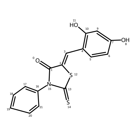 O=C1/C(=C/c2ccc(O)cc2O)SC(=S)N1c1ccccc1